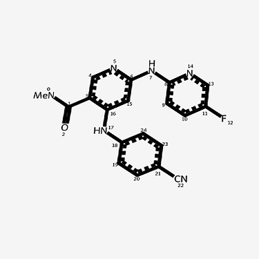 CNC(=O)c1cnc(Nc2ccc(F)cn2)cc1Nc1ccc(C#N)cc1